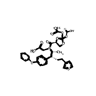 C[C@H]([C@H](CCc1ccsc1)c1ccc(Oc2ccccc2)cc1)N(CC(=O)O)C(=O)[C@@H]1COC(OC(=O)O)(OC(=O)O)O1